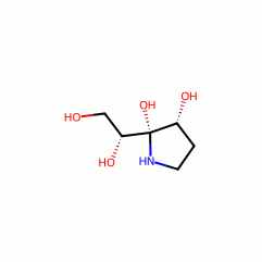 OC[C@@H](O)[C@]1(O)NCC[C@H]1O